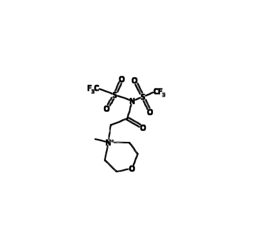 C[N+]1(CC(=O)N(S(=O)(=O)C(F)(F)F)S(=O)(=O)C(F)(F)F)CCOCC1